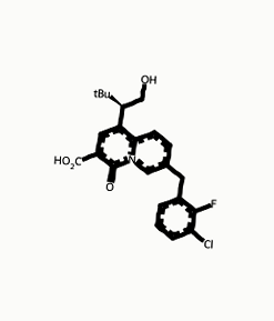 CC(C)(C)[C@@H](CO)c1cc(C(=O)O)c(=O)n2cc(Cc3cccc(Cl)c3F)ccc12